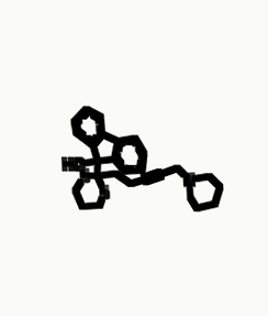 OC1(C2(CCC#CCN3CCCCC3)SCCCS2)c2ccccc2-c2ccccc21